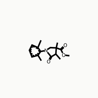 COC(=O)C1(C)CN(c2c(C)cccc2C)C(=O)C1C